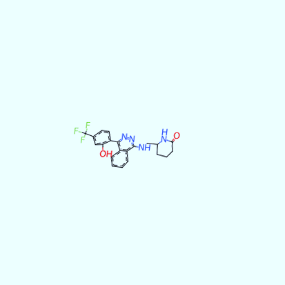 O=C1CCCC(CNc2nnc(-c3ccc(C(F)(F)F)cc3O)c3ccccc23)N1